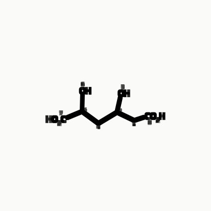 O=C(O)CC(O)CC(O)C(=O)O